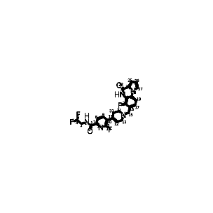 O=C(NCC(F)F)c1ccc(C2=CCN(Cc3ccc4c([nH]c(=O)c5cccn54)c3F)CC2)c(F)n1